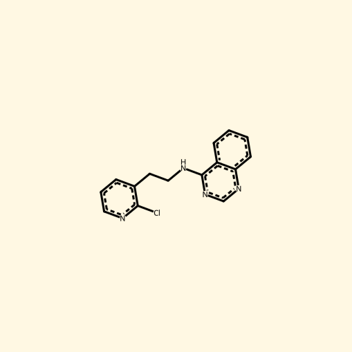 Clc1ncccc1CCNc1ncnc2ccccc12